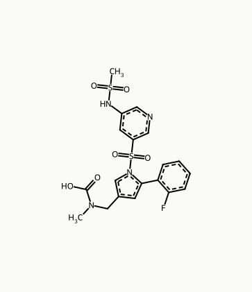 CN(Cc1cc(-c2ccccc2F)n(S(=O)(=O)c2cncc(NS(C)(=O)=O)c2)c1)C(=O)O